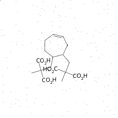 CC(CC1CC=CCCC1CC(C)(C(=O)O)C(=O)O)(C(=O)O)C(=O)O